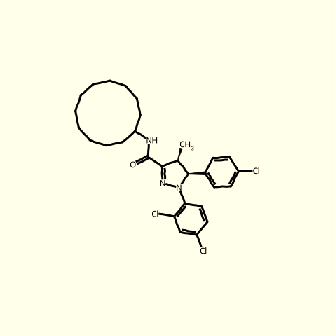 C[C@@H]1C(C(=O)NC2CCCCCCCCCCC2)=NN(c2ccc(Cl)cc2Cl)[C@@H]1c1ccc(Cl)cc1